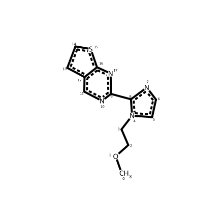 COCCn1ccnc1-c1ncc2ccsc2n1